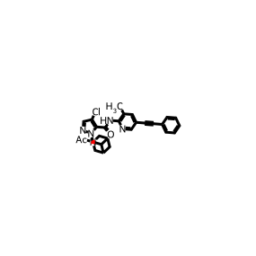 CC(=O)N1CC2CC(C1)C2Cn1ncc(Cl)c1C(=O)Nc1ncc(C#Cc2ccccc2)cc1C